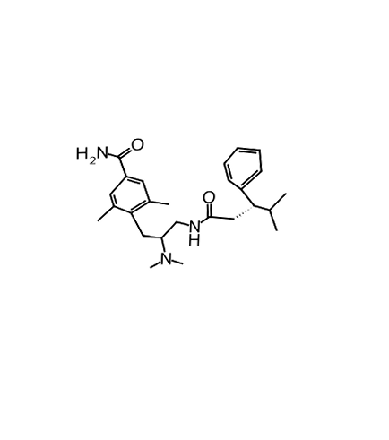 Cc1cc(C(N)=O)cc(C)c1C[C@@H](CNC(=O)C[C@H](c1ccccc1)C(C)C)N(C)C